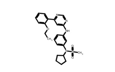 CCOc1ccccc1-c1cc(Nc2cccc(N(C3CCCC3)S(C)(=O)=O)c2)ncn1